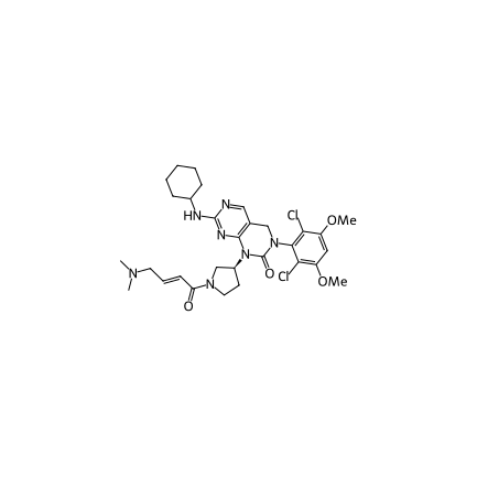 COc1cc(OC)c(Cl)c(N2Cc3cnc(NC4CCCCC4)nc3N([C@H]3CCN(C(=O)/C=C/CN(C)C)C3)C2=O)c1Cl